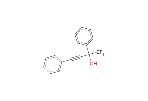 OC(C#Cc1ccccc1)(c1ccccc1)C(F)(F)F